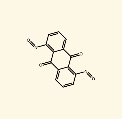 O=Nc1cccc2c1C(=O)c1cccc(N=O)c1C2=O